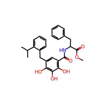 COC(=O)C(Cc1ccccc1)NC(=O)c1cc(Cc2ccccc2C(C)C)c(O)c(O)c1O